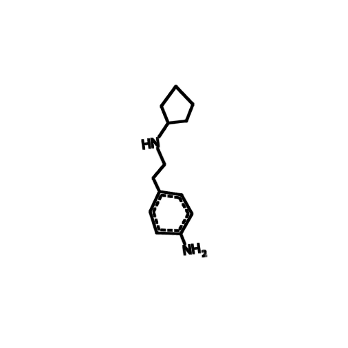 Nc1ccc(CCNC2CCCC2)cc1